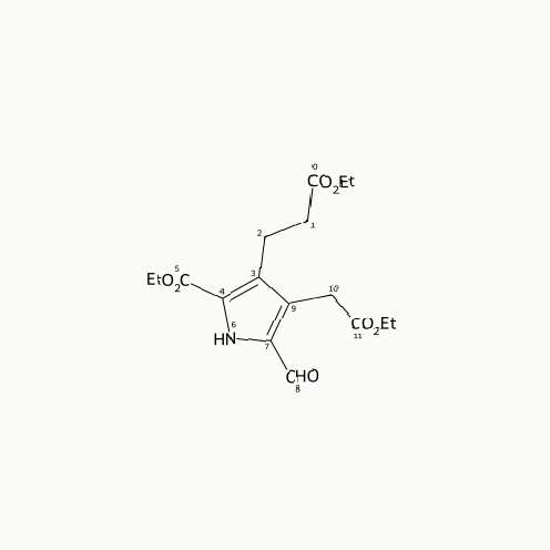 CCOC(=O)CCc1c(C(=O)OCC)[nH]c(C=O)c1CC(=O)OCC